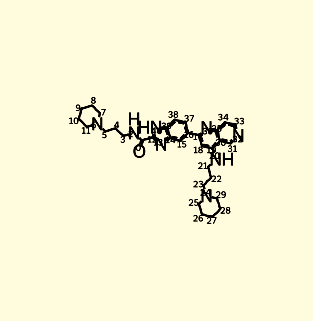 O=C(NCCCN1CCCCC1)c1nc2cc(-c3cc(NCCCN4CCCCC4)c4cnccc4n3)ccc2[nH]1